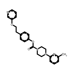 Cc1cccc(N2CCN(C(=O)Oc3ccc(CCOc4cccnc4)cc3)CC2)n1